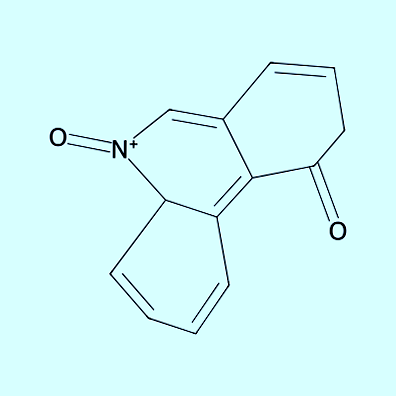 O=C1CC=CC2=C[N+](=O)C3C=CC=CC3=C12